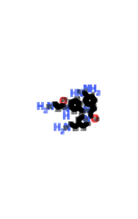 N=C(N)c1ccc2cc(C(=O)N3CCC(CCN)CC3)n(Cc3cccc(NC(=O)C=CN)c3)c2c1